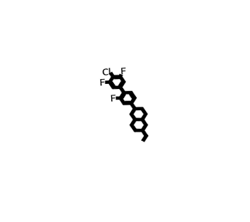 CCC1CCC2CC(c3ccc(-c4cc(F)c(Cl)c(F)c4)c(F)c3)CCC2C1